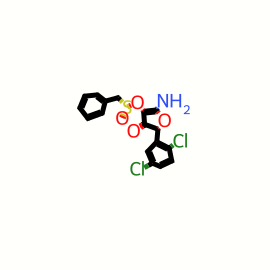 NC1=C(OS(=O)Cc2ccccc2)C(=O)C(c2cc(Cl)ccc2Cl)O1